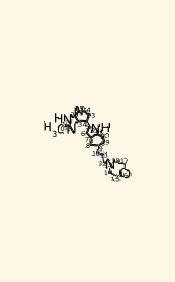 Cc1nc2c(-c3cc4cc(/C=C/CN5CCOCC5)ccc4[nH]3)ccnc2[nH]1